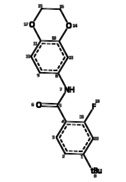 CC(C)(C)c1ccc(C(=O)Nc2ccc3c(c2)OCCO3)c(F)c1